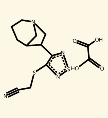 N#CCSc1nsnc1C1CN2CCCC1C2.O=C(O)C(=O)O